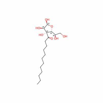 CCCCCCCCCCCC(=O)[C@]1(O)[C@@H]([C@H](O)CO)O[C@H](O)[C@@H]1O